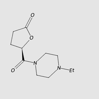 CCN1CCN(C(=O)[C@H]2CCC(=O)O2)CC1